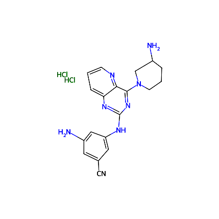 Cl.Cl.N#Cc1cc(N)cc(Nc2nc(N3CCCC(N)C3)c3ncccc3n2)c1